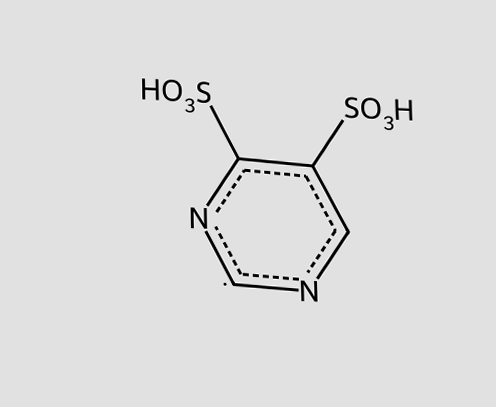 O=S(=O)(O)c1cn[c]nc1S(=O)(=O)O